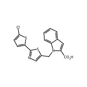 O=C(O)c1cc2ccccc2n1Cc1cnc(-c2ccc(Cl)s2)s1